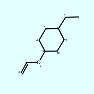 C=COC1CCC(CC)CC1